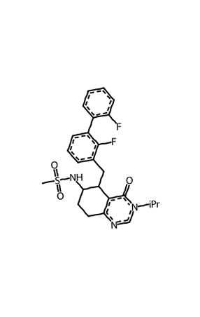 CC(C)n1cnc2c(c1=O)C(Cc1cccc(-c3ccccc3F)c1F)C(NS(C)(=O)=O)CC2